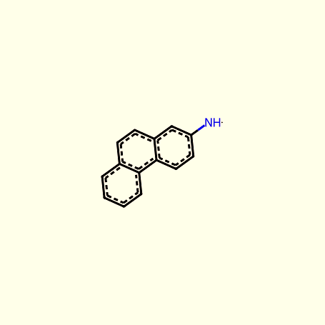 [NH]c1ccc2c(ccc3ccccc32)c1